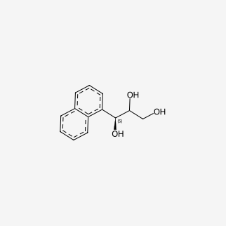 OCC(O)[C@@H](O)c1cccc2ccccc12